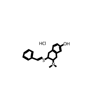 CN(C)C1Cc2cc(O)ccc2CC1SC=Cc1ccccc1.Cl